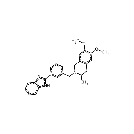 COc1cc2c(cc1OC)CN(Cc1cccc(-c3nc4ccccc4[nH]3)c1)C(C)C2